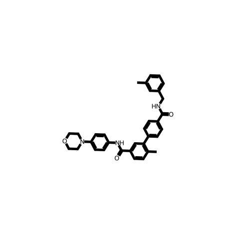 Cc1cccc(CNC(=O)c2ccc(-c3cc(C(=O)Nc4ccc(N5CCOCC5)cc4)ccc3C)cc2)c1